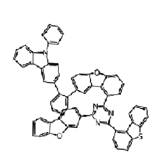 c1ccc(-n2c3ccccc3c3cc(-c4ccccc4-c4ccc5oc6cccc(-c7nc(-c8ccc9c(c8)oc8ccccc89)nc(-c8cccc9sc%10ccccc%10c89)n7)c6c5c4)ccc32)cc1